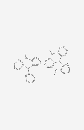 COc1ccccc1P(c1ccccc1)c1ccccc1.COc1ccccc1P(c1ccccc1)c1ccccc1OC